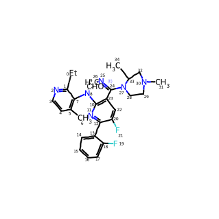 CCc1nccc(C)c1N(C=O)c1nc(-c2ccccc2F)c(F)cc1/C(=N\C)N1CCN(C)CC1C